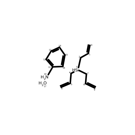 C=CC[SiH](CC=C)CC=C.Nc1ccccc1.O